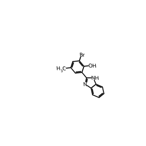 Cc1cc(Br)c(O)c(-c2nc3ccccc3[nH]2)c1